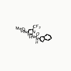 CONc1cc(C(F)(F)F)nc(NC(=O)Nc2ccc3ccccc3c2)n1